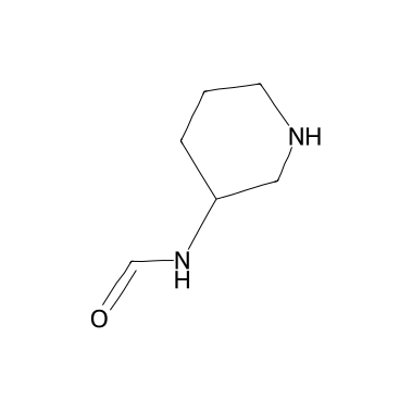 O=CNC1CCCNC1